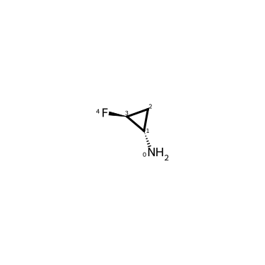 N[C@H]1C[C@@H]1F